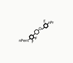 CCCCCc1ccc(C2CCC(OCc3ccc(CCC)c(F)c3)CC2)c(F)c1F